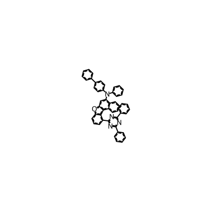 c1ccc(-c2ccc(N(c3ccccc3)c3cc4oc5cccc(-c6nc(-c7ccccc7)nc(-c7ccccc7)n6)c5c4c4ccccc34)cc2)cc1